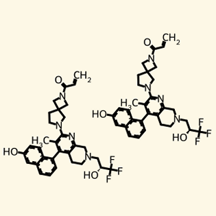 C=CC(=O)N1CC2(CCN(c3nc4c(c(-c5cccc6cc(O)ccc56)c3C)CCN(C[C@@H](O)C(F)(F)F)C4)C2)C1.C=CC(=O)N1CC2(CCN(c3nc4c(c(-c5cccc6cc(O)ccc56)c3C)CCN(C[C@H](O)C(F)(F)F)C4)C2)C1